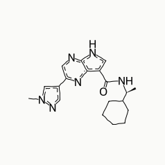 C[C@H](NC(=O)c1c[nH]c2ncc(-c3cnn(C)c3)nc12)C1CCCCC1